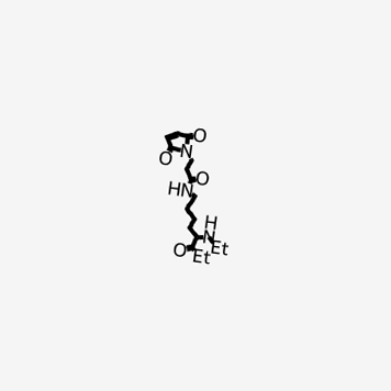 CCNC(CCCCNC(=O)CCN1C(=O)C=CC1=O)C(=O)CC